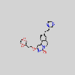 O=c1nc(OCCC2COCCO2)cc2n1CCc1cc(CCc3cnccn3)ccc1-2